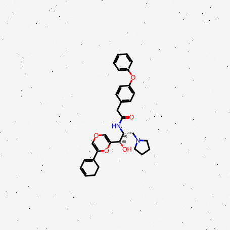 O=C(Cc1ccc(Oc2ccccc2)cc1)N[C@H](CN1CCCC1)[C@@H](O)C1=COC=C(C2=CC=CCC2)O1